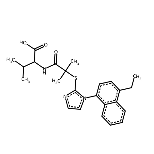 CCc1ccc(-n2ccnc2SC(C)(C)C(=O)NC(C(=O)O)C(C)C)c2ccccc12